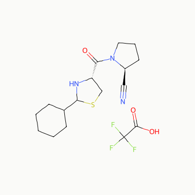 N#C[C@@H]1CCCN1C(=O)[C@@H]1CSC(C2CCCCC2)N1.O=C(O)C(F)(F)F